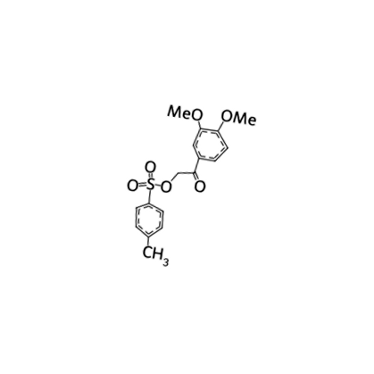 COc1ccc(C(=O)COS(=O)(=O)c2ccc(C)cc2)cc1OC